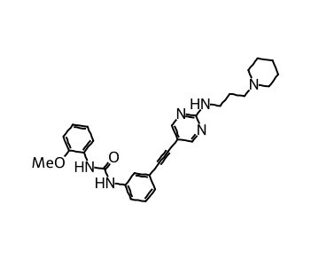 COc1ccccc1NC(=O)Nc1cccc(C#Cc2cnc(NCCCN3CCCCC3)nc2)c1